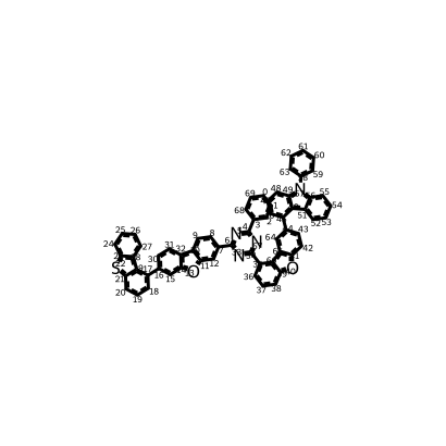 c1ccc(-c2nc(-c3ccc4c(c3)oc3cc(-c5cccc6sc7ccccc7c56)ccc34)nc(-c3cccc4oc5ccc(-c6cccc7c6c6ccccc6n7-c6ccccc6)cc5c34)n2)cc1